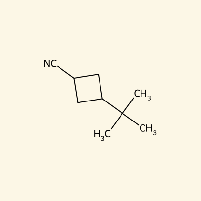 CC(C)(C)C1CC(C#N)C1